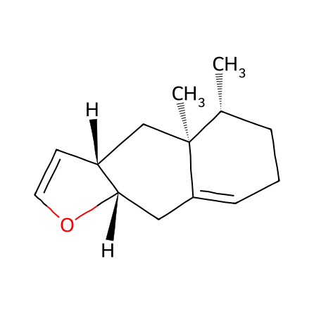 C[C@@H]1CCC=C2C[C@@H]3OC=C[C@@H]3C[C@]21C